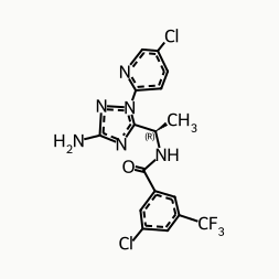 C[C@@H](NC(=O)c1cc(Cl)cc(C(F)(F)F)c1)c1nc(N)nn1-c1ccc(Cl)cn1